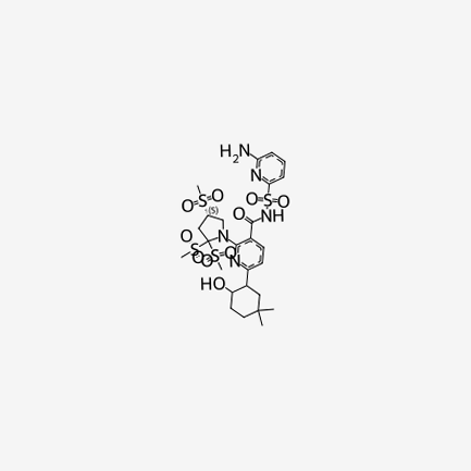 CC1(C)CCC(O)C(c2ccc(C(=O)NS(=O)(=O)c3cccc(N)n3)c(N3C[C@@H](S(C)(=O)=O)CC3(S(C)(=O)=O)S(C)(=O)=O)n2)C1